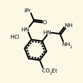 CCOC(=O)c1ccc(NC(=O)C(C)C)c(NC(=N)N)c1.Cl